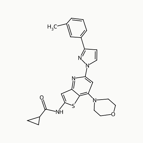 Cc1cccc(-c2ccn(-c3cc(N4CCOCC4)c4sc(NC(=O)C5CC5)cc4n3)n2)c1